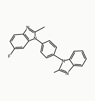 Cc1nc2ccccc2n1-c1ccc(-n2c(C)nc3ccc(F)cc32)cc1